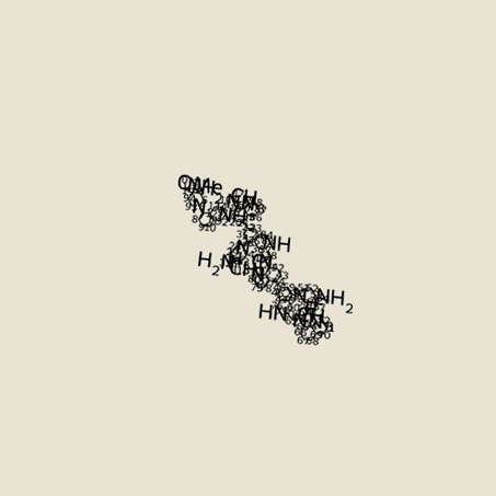 COCC1(N)CCN(c2cccc3c2C[C@H](CN(C)[C@H]2CCC(c4cc5c(c(N6CCC(C)(N)CC6)c4)C[C@H](CN(C)[C@H]4CCC(c6cc7c(c(N8CCC(N)C(F)(F)C8)c6)C[C@@H](CN(C)[C@H]6CCCc8cccnc86)NC7)c6cccnc64)NC5)c4cccnc42)NC3)CC1